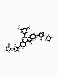 COc1cc(OC)cc(C2Oc3cc(-c4cnc(C5CCCN5)[nH]4)ccc3-c3c(F)c4cc(-c5cnc([C@@H]6CCCN6)[nH]5)ccc4n32)c1